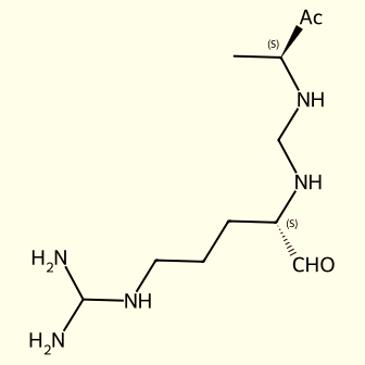 CC(=O)[C@H](C)NCN[C@H](C=O)CCCNC(N)N